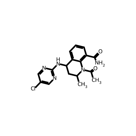 CC(=O)N1c2c(C(N)=O)cccc2C(Nc2ncc(Cl)cn2)CC1C